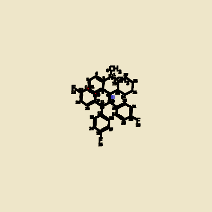 CN(C)c1ccccc1/C(=C(\B(c1ccc(F)cc1)c1ccc(F)cc1)c1ccc(F)cc1)C1CCCCC1